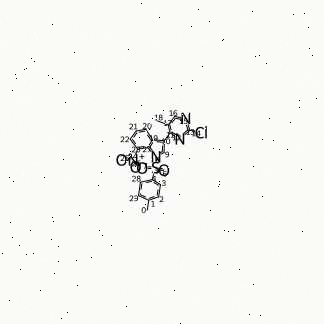 Cc1ccc(S(=O)(=O)n2cc(-c3nc(Cl)ncc3C)c3cccc([N+](=O)[O-])c32)cc1